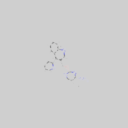 C[C@H](Oc1ncc(C#N)c(N)n1)c1cnc2ccccc2c1-c1ccccn1